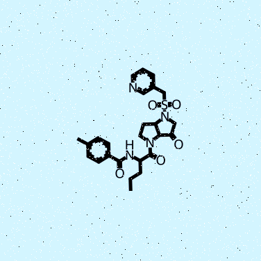 CCCC(NC(=O)c1ccc(C)cc1)C(=O)N1CCC2C1C(=O)CN2S(=O)(=O)Cc1cccnc1